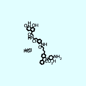 CC(Cc1ccc(NC(=O)CCCc2ccc(-c3ccccc3)c(N(C(=O)O)C3CCC(N)CC3)c2)cc1)NC[C@@H](O)c1ccc(O)c2[nH]c(=O)ccc12.Cl.Cl